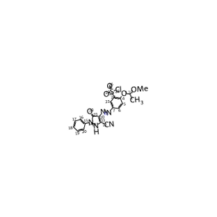 COC(C)Oc1ccc(/N=N/c2c(C#N)[nH]n(-c3ccccc3)c2=O)cc1S(=O)(=O)Cl